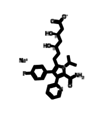 CC(C)n1c(CC[C@@H](O)C[C@@H](O)CC(=O)[O-])c(-c2ccc(F)cc2)c(-c2ccccn2)c1C(N)=O.[Na+]